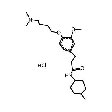 COc1cc(CCC(=O)NC2CCC(C)CC2)ccc1OCCCCN(C)C.Cl